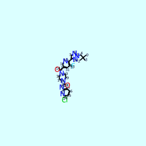 CC(C)(C)Cn1ncc(-c2ncc(C(=O)N3CCN(c4nc5nc(Cl)ccc5o4)CC3)cc2F)n1